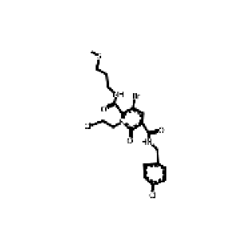 CSCCCNC(=O)c1c(Br)cc(C(=O)NCc2ccc(Cl)cc2)c(=O)n1CCCl